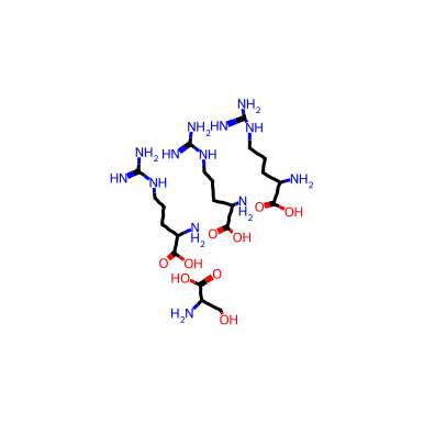 N=C(N)NCCCC(N)C(=O)O.N=C(N)NCCCC(N)C(=O)O.N=C(N)NCCCC(N)C(=O)O.NC(CO)C(=O)O